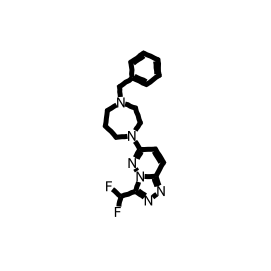 FC(F)c1nnc2ccc(N3CCCN(Cc4ccccc4)CC3)nn12